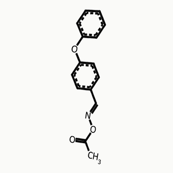 CC(=O)O/N=C/c1ccc(Oc2ccccc2)cc1